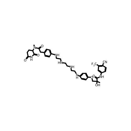 CN(C(=O)Cc1ccc(NCCNCCNCCNc2ccc(OCC(C)(O)C(=O)Nc3ccc(C#N)c(C(F)(F)F)c3)cc2)cc1)C1CCC(=O)NC1=O